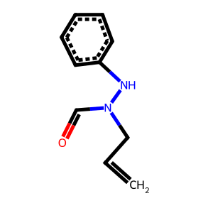 C=CCN(C=O)Nc1ccccc1